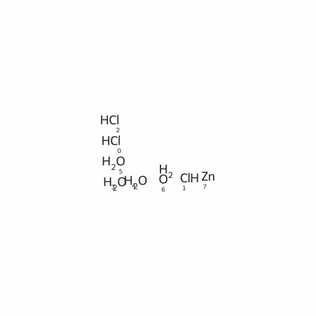 Cl.Cl.Cl.O.O.O.O.[Zn]